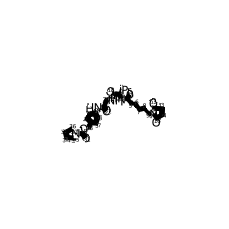 CC(C)[C@H](NC(=O)CCCCCN1C(=O)C=CC1=O)C(=O)NCC(=O)Nc1ccc(COC(=O)N2CCCC2)cc1